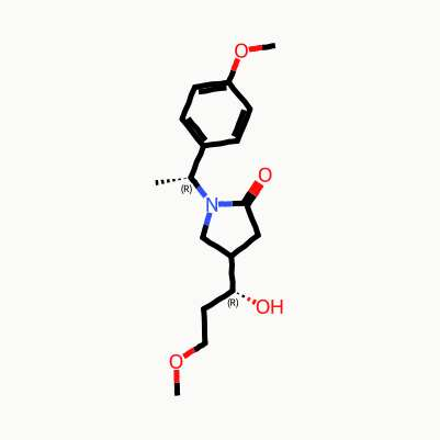 COCC[C@@H](O)C1CC(=O)N([C@H](C)c2ccc(OC)cc2)C1